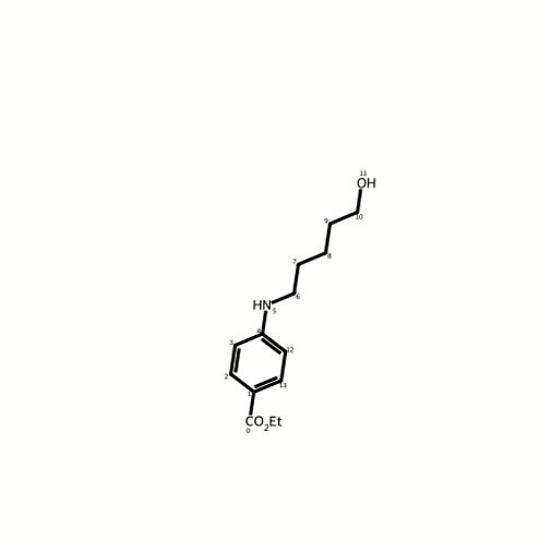 CCOC(=O)c1ccc(NCCCCCO)cc1